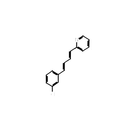 Cc1cccc(/C=C/C=C/c2ccccn2)c1